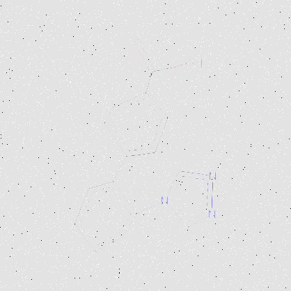 O=C(O)c1ccc(-c2ccccc2-n2cnnc2)cc1